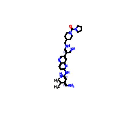 CC(C)C(=C/N)/C=C(\N)Nc1ccc2ncc(/C(C=N)=C/NCC3CCN(C(=O)N4CCCC4)CC3)cc2n1